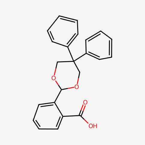 O=C(O)c1ccccc1C1OCC(c2ccccc2)(c2ccccc2)CO1